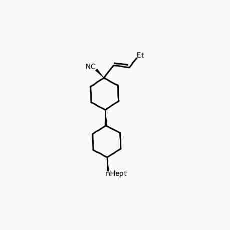 CCC=C[C@]1(C#N)CC[C@@H](C2CCC(CCCCCCC)CC2)CC1